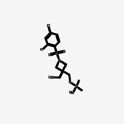 CC(C)(C)[Si](C)(C)OCC1(CO)CN(S(=O)(=O)c2ccc(Cl)cc2Cl)C1